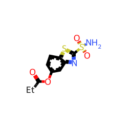 CCC(=O)Oc1ccc2sc(S(N)(=O)=O)nc2c1